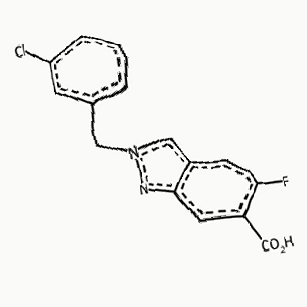 O=C(O)c1cc2nn(Cc3cccc(Cl)c3)cc2cc1F